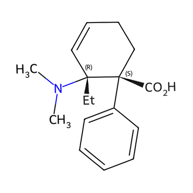 CC[C@@]1(N(C)C)C=CCC[C@]1(C(=O)O)c1ccccc1